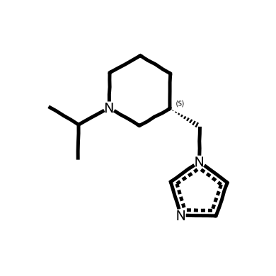 CC(C)N1CCC[C@H](Cn2ccnc2)C1